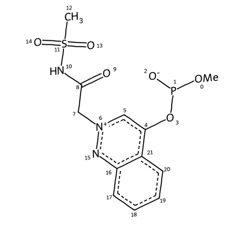 COP([O-])Oc1c[n+](CC(=O)NS(C)(=O)=O)nc2ccccc12